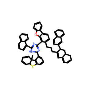 CC12C=CC=CC1Sc1cccc(C3N=C(c4c(CCCC5=CC6=CC=CCC6CC5c5ccc6ccccc6c5)ccc5c4oc4ccccc45)N=C(c4cccc5ccccc45)N3)c12